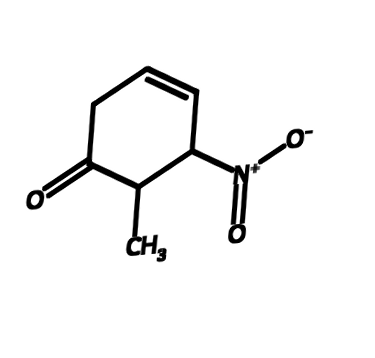 CC1C(=O)CC=CC1[N+](=O)[O-]